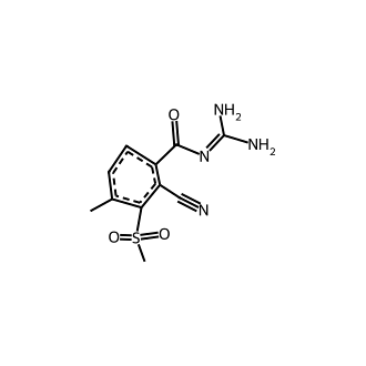 Cc1ccc(C(=O)N=C(N)N)c(C#N)c1S(C)(=O)=O